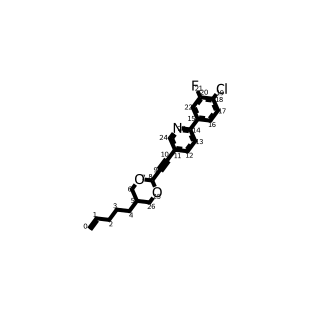 C=CCCCC1COC(C#Cc2ccc(-c3ccc(Cl)c(F)c3)nc2)OC1